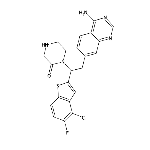 Nc1ncnc2cc(CC(c3cc4c(Cl)c(F)ccc4s3)N3CCNCC3=O)ccc12